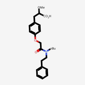 CCCCN(CCc1ccccc1)C(=O)COc1ccc(CC(OC)C(=O)O)cc1